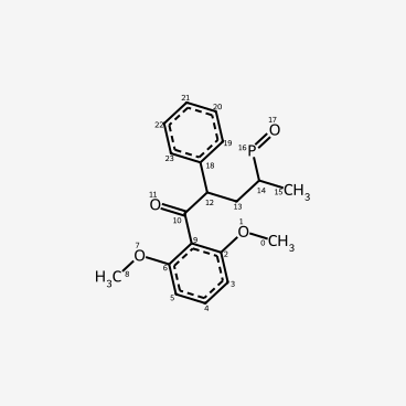 COc1cccc(OC)c1C(=O)C(CC(C)P=O)c1ccccc1